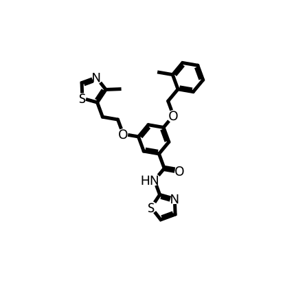 Cc1ccccc1COc1cc(OCCc2scnc2C)cc(C(=O)Nc2nccs2)c1